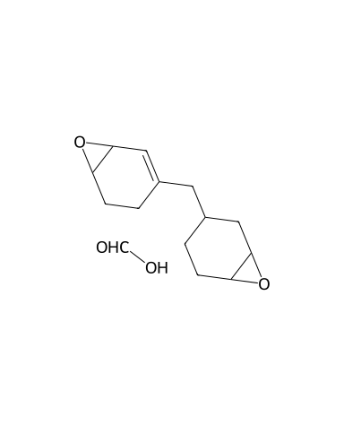 C1=C(CC2CCC3OC3C2)CCC2OC12.O=CO